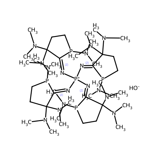 CN(C)P1CCC(N(C)C)(N(C)C)/C1=N/[P+](/N=C1\P(N(C)C)CCC1(N(C)C)N(C)C)(/N=C1\P(N(C)C)CCC1(N(C)C)N(C)C)/N=C1\P(N(C)C)CCC1(N(C)C)N(C)C.[OH-]